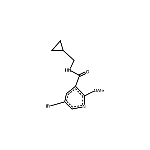 COc1ncc(C(C)C)cc1C(=O)NCC1CC1